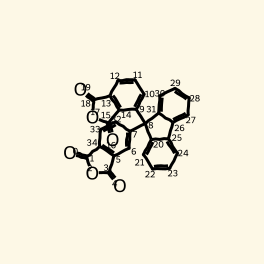 O=C1OC(=O)c2cc(C3(c4cccc5c4C(=O)OC5=O)c4ccccc4-c4ccccc43)ccc21